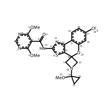 COc1ncnc(OC)c1C(=O)Nc1nc2c(s1)C1(CN(C3(OC)CC3)C1)Oc1cc(C(F)(F)F)ccc1-2